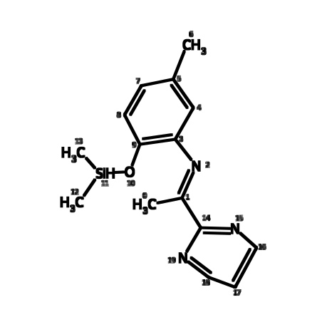 CC(=Nc1cc(C)ccc1O[SiH](C)C)c1ncccn1